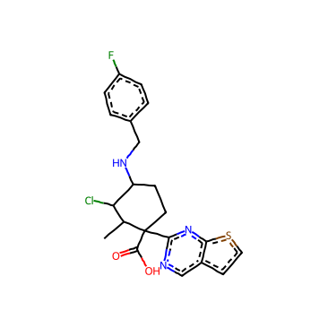 CC1C(Cl)C(NCc2ccc(F)cc2)CCC1(C(=O)O)c1ncc2ccsc2n1